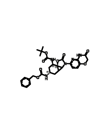 CC(C)(C)OC(=O)N[C@@H]1C[C@@H](NC(=O)OCc2ccccc2)CC2C3N(c4ccc5c(n4)NC(=O)CO5)C(=O)O[C@]231